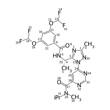 Cc1nc([C@H](C)NC(=O)c2cc(OC(F)F)cc(OC(F)F)c2)n(-c2cc(C(=O)N(C)C(C)C)ncn2)n1